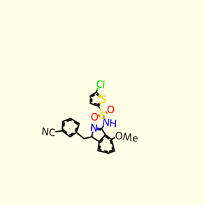 COc1cccc2c1C(NS(=O)(=O)c1ccc(Cl)s1)=NC2Cc1cccc(C#N)c1